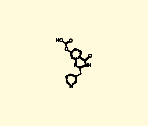 O=C(O)Oc1ccc2c(=O)[nH]c(Cc3cccnc3)nc2c1